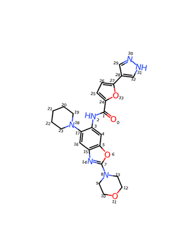 O=C(Nc1cc2oc(N3CCOCC3)nc2cc1N1CCCCC1)c1ccc(-c2cn[nH]c2)o1